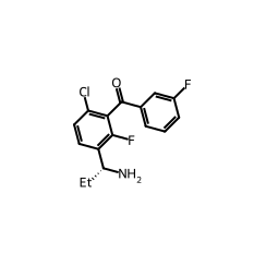 CC[C@@H](N)c1ccc(Cl)c(C(=O)c2cccc(F)c2)c1F